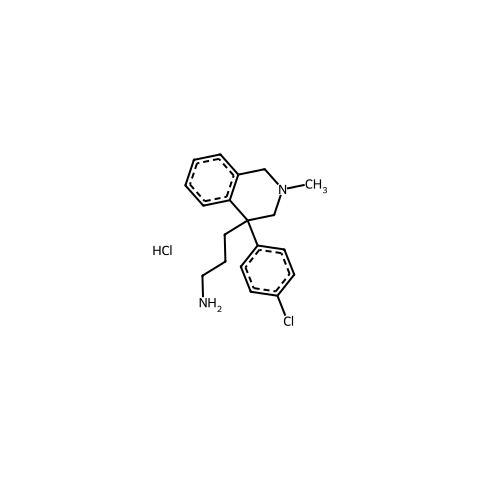 CN1Cc2ccccc2C(CCCN)(c2ccc(Cl)cc2)C1.Cl